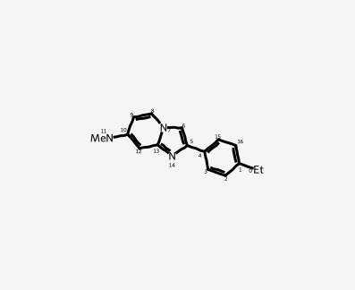 CCc1ccc(-c2cn3ccc(NC)cc3n2)cc1